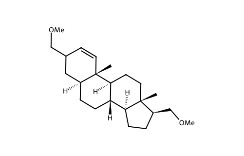 COCC1C=C[C@@]2(C)[C@@H](CC[C@@H]3[C@@H]2CC[C@]2(C)[C@@H](COC)CC[C@@H]32)C1